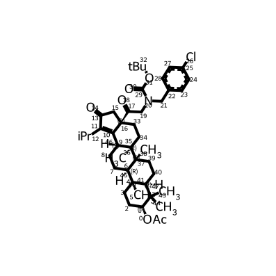 CC(=O)O[C@H]1CC[C@]2(C)[C@H]3CC[C@@H]4C5=C(C(C)C)C(=O)C[C@]5(C(=O)CN(Cc5ccc(Cl)cc5)C(=O)OC(C)(C)C)CC[C@@]4(C)[C@]3(C)CC[C@H]2C1(C)C